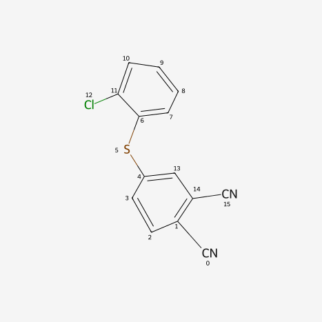 N#Cc1ccc(Sc2ccccc2Cl)cc1C#N